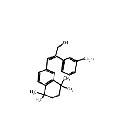 CCOC(=O)c1cccc(C(=Cc2ccc3c(c2)C(C)(C)CCC3(C)C)CO)c1